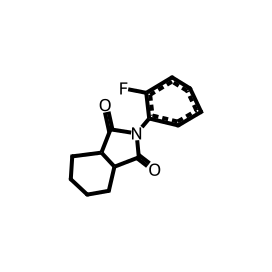 O=C1C2CCCCC2C(=O)N1c1ccccc1F